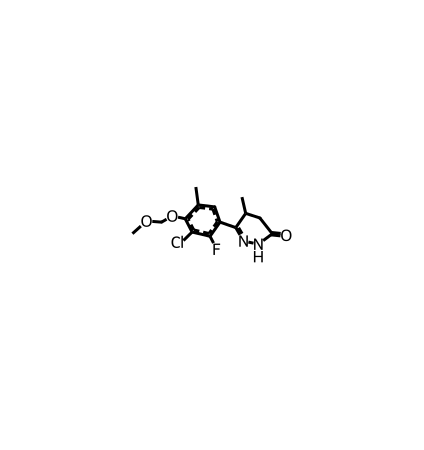 COCOc1c(C)cc(C2=NNC(=O)CC2C)c(F)c1Cl